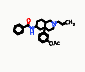 C=CCN1CCC2(c3cccc(OC(C)=O)c3)CC(NC(=O)c3ccccc3)CCC2C1